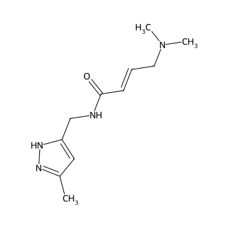 Cc1cc(CNC(=O)/C=C/CN(C)C)[nH]n1